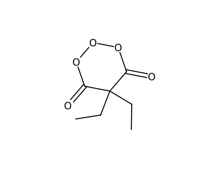 CCC1(CC)C(=O)OOOC1=O